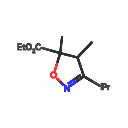 CCOC(=O)C1(C)ON=C(C(C)C)C1C